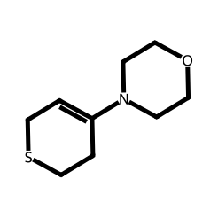 C1=C(N2CCOCC2)CCSC1